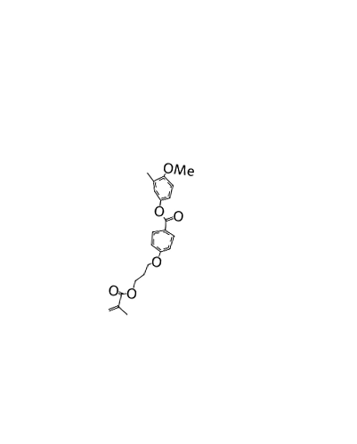 C=C(C)C(=O)OCCCOc1ccc(C(=O)Oc2ccc(OC)c(C)c2)cc1